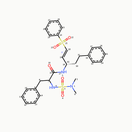 CN(C)S(=O)(=O)NC(Cc1ccccc1)C(=O)N[C@H](/C=C/S(=O)(=O)c1ccccc1)CCc1ccccc1